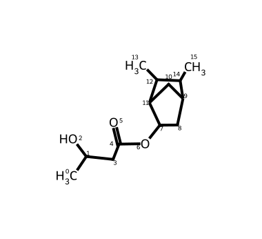 CC(O)CC(=O)OC1CC2CC1C(C)C2C